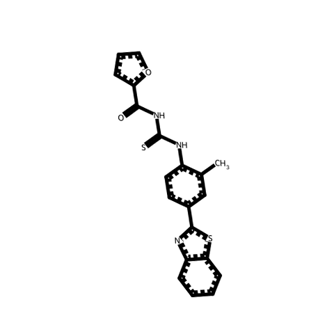 Cc1cc(-c2nc3ccccc3s2)ccc1NC(=S)NC(=O)c1ccco1